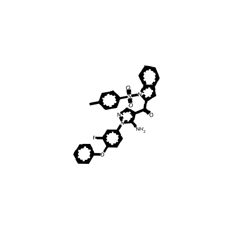 Cc1ccc(S(=O)(=O)n2c(C(=O)c3cnn(-c4ccc(Oc5ccccc5)c(F)c4)c3N)cc3ccccc32)cc1